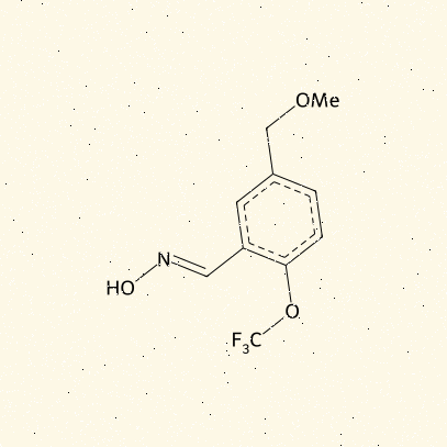 COCc1ccc(OC(F)(F)F)c(/C=N/O)c1